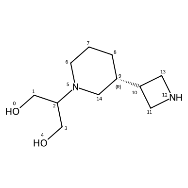 OCC(CO)N1CCC[C@H](C2CNC2)C1